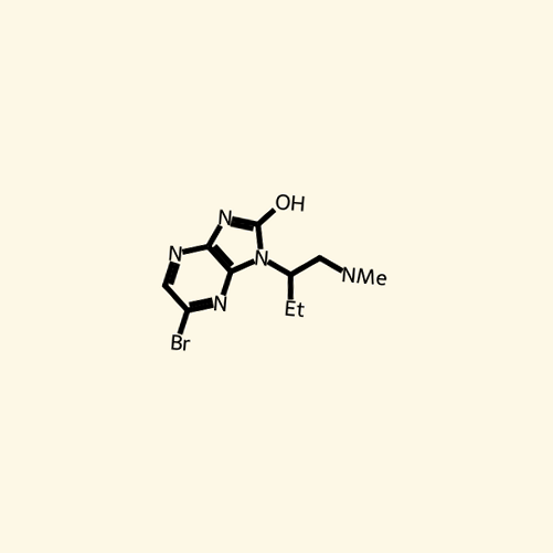 CCC(CNC)n1c(O)nc2ncc(Br)nc21